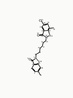 Cc1ccc2c(=O)n(CCCCCCn3sc4c(C)cc(Cl)cc4c3=O)sc2c1